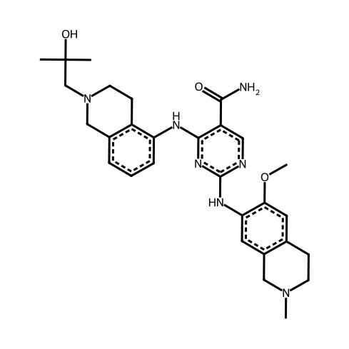 COc1cc2c(cc1Nc1ncc(C(N)=O)c(Nc3cccc4c3CCN(CC(C)(C)O)C4)n1)CN(C)CC2